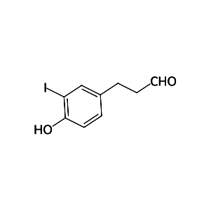 O=CCCc1ccc(O)c(I)c1